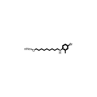 CCCCCCOCCCCCCCCCNc1ccc(Br)cc1C